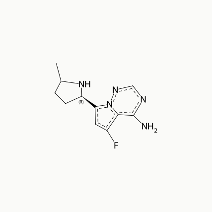 CC1CC[C@H](c2cc(F)c3c(N)ncnn23)N1